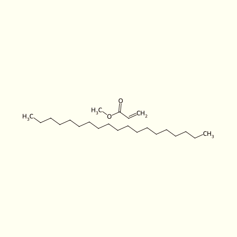 C=CC(=O)OC.CCCCCCCCCCCCCCCCCCC